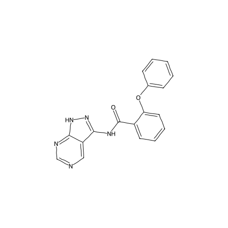 O=C(Nc1n[nH]c2ncncc12)c1ccccc1Oc1ccccc1